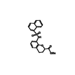 COC(=O)C1CCc2cccc(NS(=O)(=O)c3cccc4ccccc34)c2O1